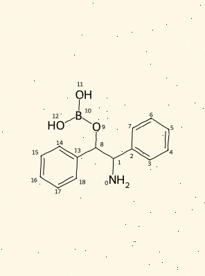 NC(c1ccccc1)C(OB(O)O)c1ccccc1